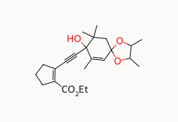 CCOC(=O)C1=C(C#CC2(O)C(C)=CC3(CC2(C)C)OC(C)C(C)O3)CCC1